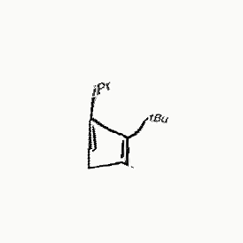 CC(C)C1=CC[C]=C1C(C)(C)C